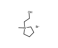 C[N+]1(CCO)CCCC1.[Br-]